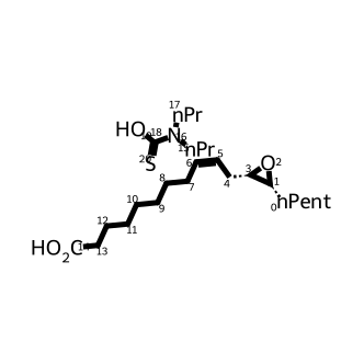 CCCCC[C@H]1O[C@H]1C/C=C\CCCCCCCC(=O)O.CCCN(CCC)C(O)=S